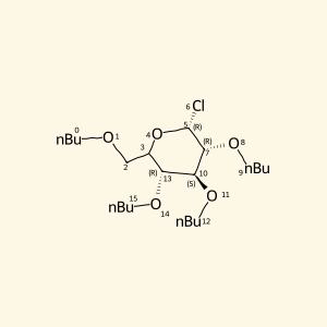 CCCCOCC1O[C@H](Cl)[C@H](OCCCC)[C@@H](OCCCC)[C@@H]1OCCCC